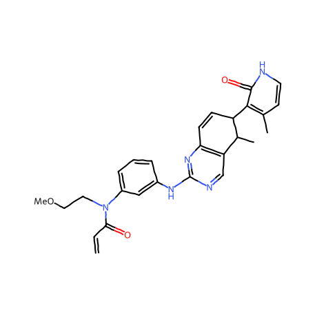 C=CC(=O)N(CCOC)c1cccc(Nc2ncc3c(n2)C=CC(c2c(C)cc[nH]c2=O)C3C)c1